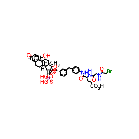 C[C@]12C=CC(=O)C=C1CC[C@@H]1[C@@H]2[C@@H](O)C[C@@]2(C)[C@H]1C[C@H]1O[C@@H](c3cccc(Cc4ccc(NC(=O)[C@H](CCC(=O)O)NC(=O)CNC(=O)CBr)cc4)c3)O[C@]12C(=O)COP(=O)(O)O